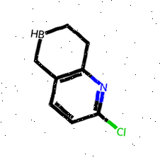 Clc1ccc2c(n1)CCBC2